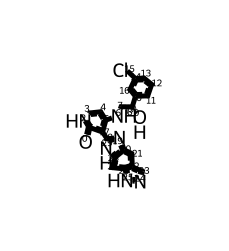 O=c1[nH]ccc(NC[C@@H](O)c2cccc(Cl)c2)c1-c1nc2cc3cn[nH]c3cc2[nH]1